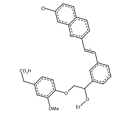 CCOC(COc1ccc(CC(=O)O)cc1OC)c1cccc(/C=C/c2ccc3ccc(Cl)cc3n2)c1